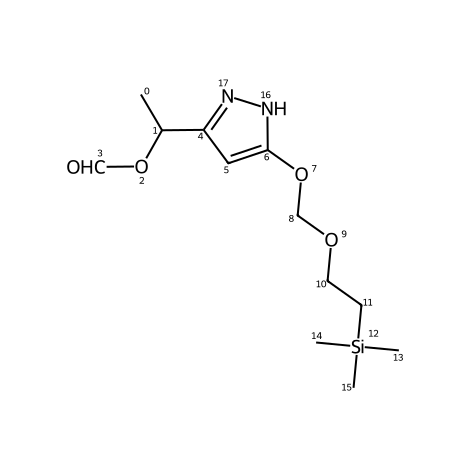 CC(OC=O)c1cc(OCOCC[Si](C)(C)C)[nH]n1